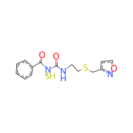 O=C(NCCSCc1ccon1)N(S)C(=O)c1ccccc1